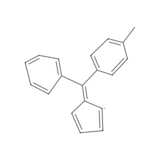 Cc1ccc(C(=C2[C]=CC=C2)c2ccccc2)cc1